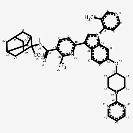 Cc1cnccc1-n1cc(-c2ccc(C(=O)NC3(C(=O)O)C4CC5CC(C4)CC3C5)c(C(F)(F)F)n2)c2ccc(OC3CCN(c4ncccn4)CC3)cc21